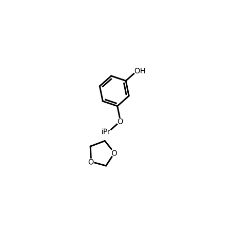 C1COCO1.CC(C)Oc1cccc(O)c1